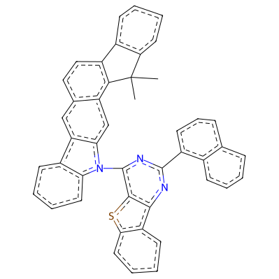 CC1(C)c2ccccc2-c2ccc3cc4c5ccccc5n(-c5nc(-c6cccc7ccccc67)nc6c5sc5ccccc56)c4cc3c21